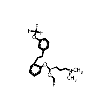 CN(C)CCC[C@@H](OCF)Oc1ccccc1CCc1cccc(OC(F)(F)F)c1